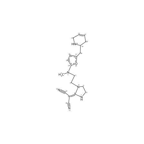 CN(CCN1CCNC1=C(C#N)C#N)c1ccc(CC2CC=CCN2)o1